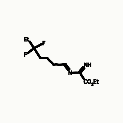 CCOC(=O)C(=N)/N=C/CCCC(F)(F)CC